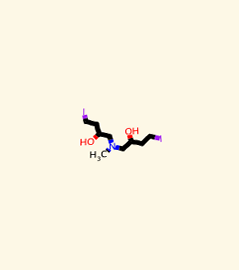 CN(CC(O)CCI)CC(O)CCI